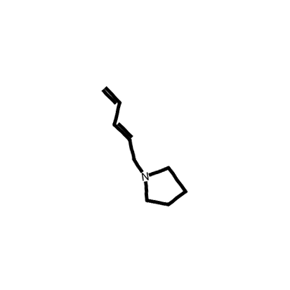 C=C/C=C/CN1CCCC1